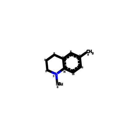 CCCCN1CCCc2cc(C)ccc21